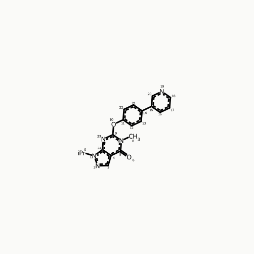 CC(C)n1ncc2c(=O)n(C)c(Oc3ccc(-c4cccnc4)cc3)nc21